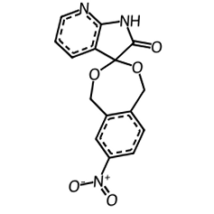 O=C1Nc2ncccc2C12OCc1ccc([N+](=O)[O-])cc1CO2